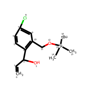 C=CC(O)c1ccc(Cl)cc1CO[Si](C)(C)C(C)(C)C